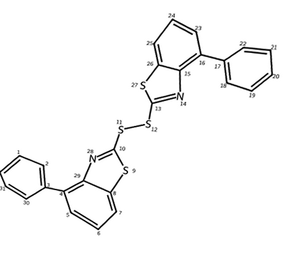 c1ccc(-c2cccc3sc(SSc4nc5c(-c6ccccc6)cccc5s4)nc23)cc1